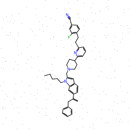 C=C(Cc1ccccc1)c1ccc2cc(CN3CCC(c4cccc(CCc5ccc(C#N)cc5F)n4)CC3)n(CCCCC)c2c1